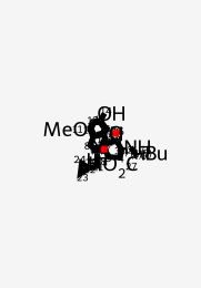 CC[C@H](C)[C@H](N[C@H]1CC[C@H]2[C@H]3Cc4c(OC)cc(O)c5c4[C@@]2(CCN3CC2CC2)[C@H]1O5)C(=O)O